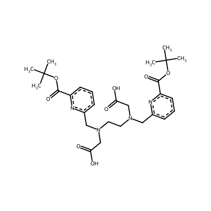 CC(C)(C)OC(=O)c1cccc(CN(CCN(CC(=O)O)Cc2cccc(C(=O)OC(C)(C)C)n2)CC(=O)O)n1